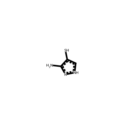 Nc1n[nH]cc1S